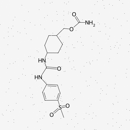 CS(=O)(=O)c1ccc(NC(=O)NC2CCC(COC(N)=O)CC2)cc1